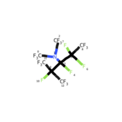 FC(F)(F)N(C(F)(F)F)C(F)(C(F)(F)C(F)(F)F)C(F)(C(F)(F)F)C(F)(F)F